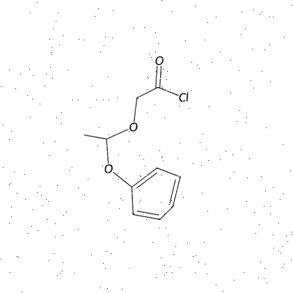 CC(OCC(=O)Cl)Oc1ccccc1